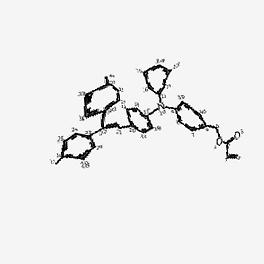 C=CC(=O)OCc1ccc(N(c2ccccc2)c2ccc(C=C(c3ccc(C)cc3)c3ccc(C)cc3)cc2)cc1